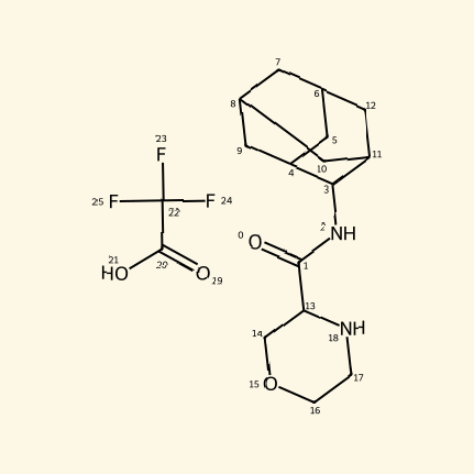 O=C(NC1C2CC3CC(C2)CC1C3)C1COCCN1.O=C(O)C(F)(F)F